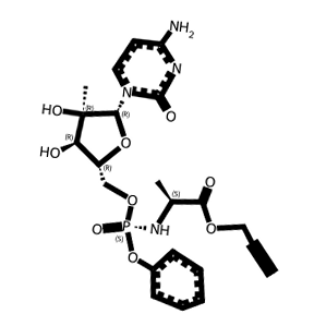 C#CCOC(=O)[C@H](C)N[P@](=O)(OC[C@H]1O[C@@H](n2ccc(N)nc2=O)[C@](C)(O)[C@@H]1O)Oc1ccccc1